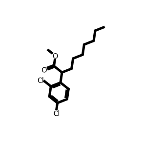 CCCCCCCC(C(=O)OC)c1ccc(Cl)cc1Cl